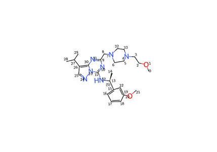 COCCN1CCN(Cc2nc(N[C@@H](C)c3cccc(OC)c3)n3ncc(C(C)C)c3n2)CC1